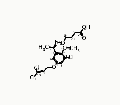 COc1c(Cl)cc(OCC=C(Cl)Cl)cc1/C(C)=N\OCCCC(=O)O